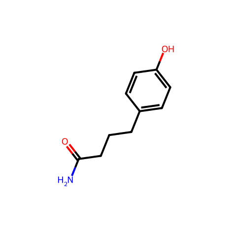 NC(=O)CCCc1ccc(O)cc1